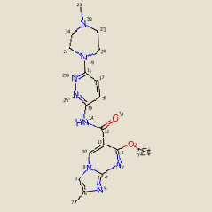 CCOc1nc2nc(C)cn2cc1C(=O)Nc1ccc(N2CCN(C)CC2)nn1